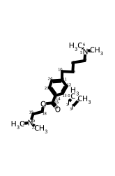 CI.CI.CN(C)CCCCc1ccc(C(=O)OCCN(C)C)cc1